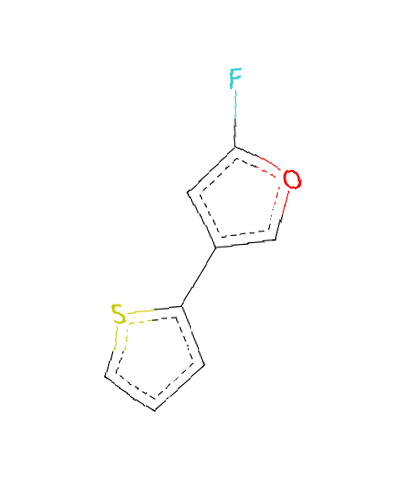 Fc1cc(-c2cccs2)co1